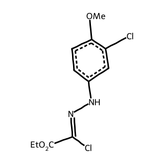 CCOC(=O)C(Cl)=NNc1ccc(OC)c(Cl)c1